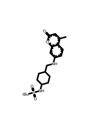 Cc1cc(=O)oc2cc(NCC3CCC(NS(=O)(=O)C(C)(C)C)CC3)ccc12